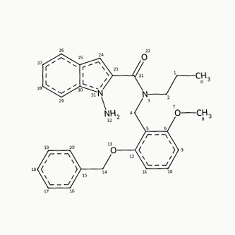 CCCN(Cc1c(OC)cccc1OCc1ccccc1)C(=O)c1cc2ccccc2n1N